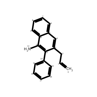 C=CCc1cc2ccccc2c(N)c1-c1ccccc1